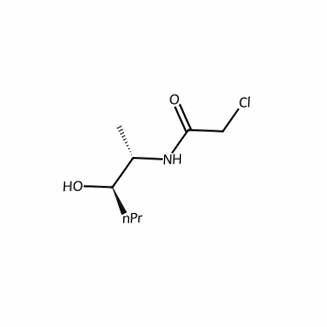 CCC[C@@H](O)[C@H](C)NC(=O)CCl